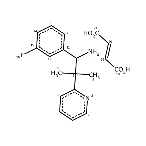 CC(C)(c1ccccn1)C(N)c1cccc(F)c1.O=C(O)C=CC(=O)O